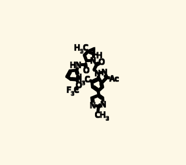 CC(=O)c1nn(CC(=O)N2[C@H](C(=O)Nc3cccc(OC(F)(F)F)n3)C[C@@]3(C)C[C@@H]23)c2c(C)cc(-c3cnc(C)nc3)cc12